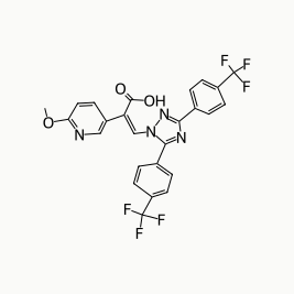 COc1ccc(C(=Cn2nc(-c3ccc(C(F)(F)F)cc3)nc2-c2ccc(C(F)(F)F)cc2)C(=O)O)cn1